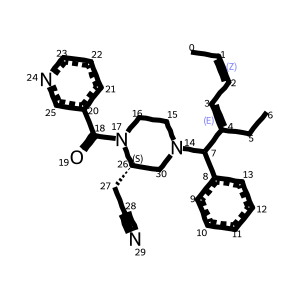 C/C=C\C=C(/CC)C(c1ccccc1)N1CCN(C(=O)c2cccnc2)[C@@H](CC#N)C1